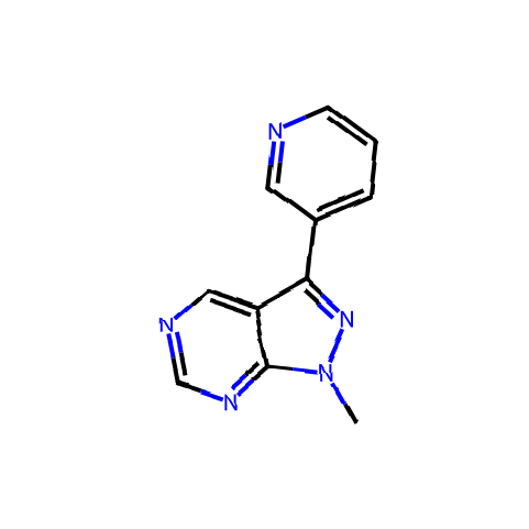 Cn1nc(-c2cccnc2)c2cncnc21